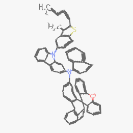 C=C/C=C\c1sc2ccc(-n3c4ccccc4c4ccc(N(c5ccc6c(c5)C5(c7ccccc7Oc7ccccc75)c5cccc7cccc-6c57)c5cccc6ccccc56)cc43)cc2c1C